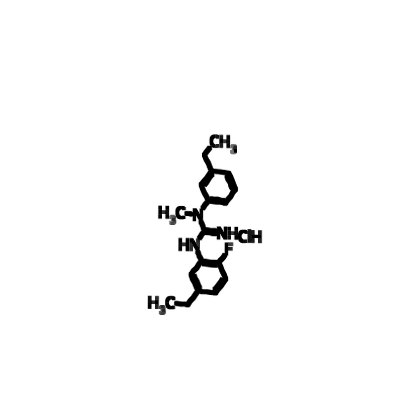 CCc1cccc(N(C)C(=N)Nc2cc(CC)ccc2F)c1.Cl